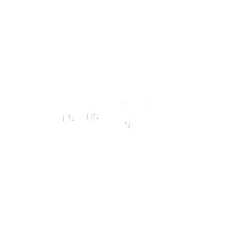 CC(C)(C)OC(=O)N(CCNc1ccccc1N)Cc1ccccc1